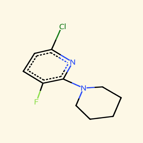 Fc1ccc(Cl)nc1N1CCCCC1